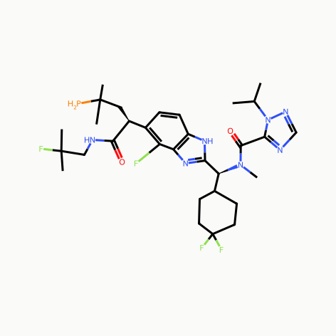 CC(C)n1ncnc1C(=O)N(C)[C@H](c1nc2c(F)c([C@H](CC(C)(C)P)C(=O)NCC(C)(C)F)ccc2[nH]1)C1CCC(F)(F)CC1